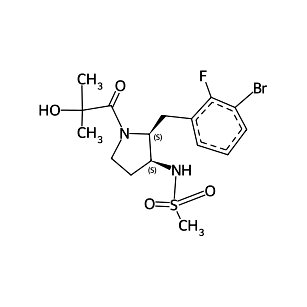 CC(C)(O)C(=O)N1CC[C@H](NS(C)(=O)=O)[C@@H]1Cc1cccc(Br)c1F